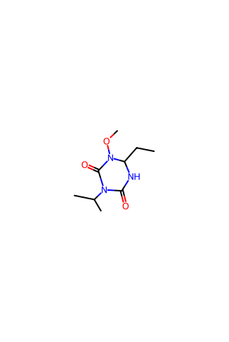 CCC1NC(=O)N(C(C)C)C(=O)N1OC